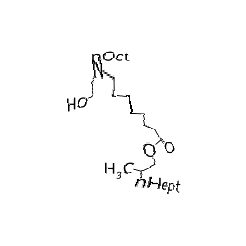 CCCCCCCCN(CCO)CCCCCCCC(=O)OCC(C)CCCCCCC